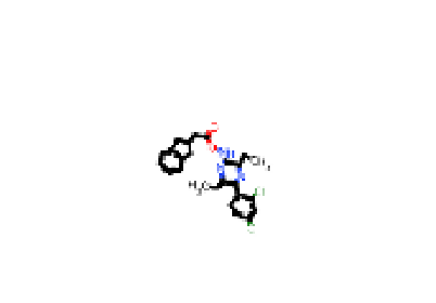 CCc1nc(-c2ccc(Cl)cc2Cl)c(CC)nc1NOC(=O)CC1Cc2ccccc2C1